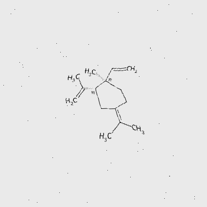 C=C[C@@]1(C)CCC(=C(C)C)C[C@@H]1C(=C)C